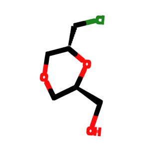 OC[C@H]1COC[C@H](CCl)O1